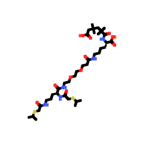 CC(C)SCC(=O)NCCC[C@H](NC(=O)CSC(C)C)C(=O)NCCOCCOCCC(=O)NCCCC[C@H](NC(=O)C(C)(C)CC(C)(C)CC(=O)O)C(=O)O